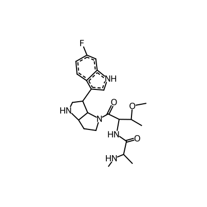 CNC(C)C(=O)NC(C(=O)N1CCC2NCC(c3c[nH]c4cc(F)ccc34)C21)C(C)OC